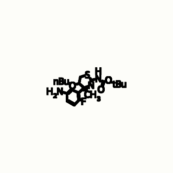 CCCCOC1CSC(NC(=O)OC(C)(C)C)=N[C@]1(C)c1cc(N)ccc1F